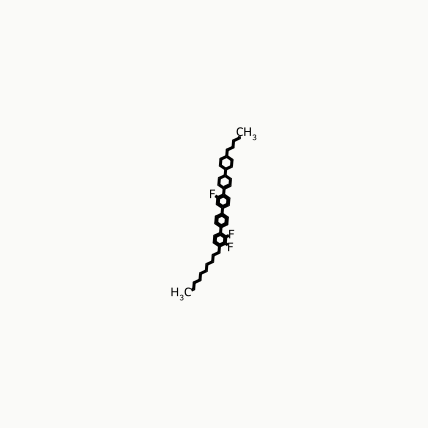 CCCCCCCCCCc1ccc(-c2ccc(-c3ccc(C4=CCC(C5CCC(CCCCC)CC5)CC4)c(F)c3)cc2)c(F)c1F